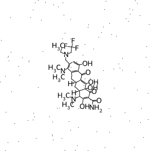 CCN(Cc1cc(O)c2c(c1N(C)C)C[C@H]1C[C@H]3[C@H](N(C)C)C(O)=C(C(N)=O)C(=O)[C@@]3(O)C(O)=C1C2=O)CC(F)(F)F